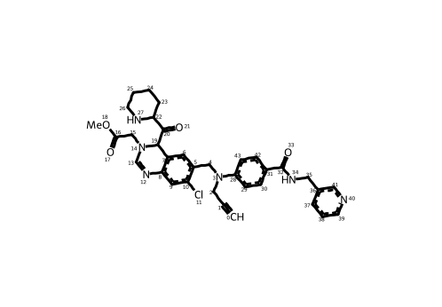 C#CCN(Cc1cc2c(cc1Cl)N=CN(CC(=O)OC)C2C(=O)C1CCCCN1)c1ccc(C(=O)NCc2cccnc2)cc1